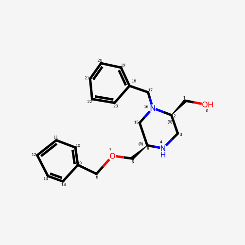 OC[C@H]1CN[C@@H](COCc2ccccc2)CN1Cc1ccccc1